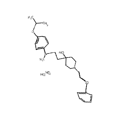 CC(C)Oc1ccc(N(C)CCC2(O)CCN(CCOc3ccccc3)CC2)cc1.Cl.Cl